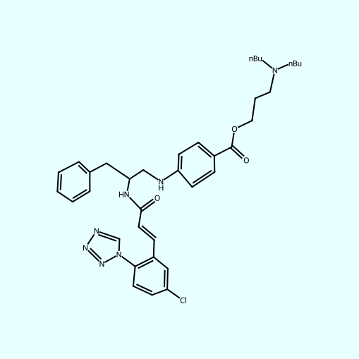 CCCCN(CCCC)CCCOC(=O)c1ccc(NCC(Cc2ccccc2)NC(=O)C=Cc2cc(Cl)ccc2-n2cnnn2)cc1